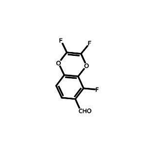 O=Cc1ccc2c(c1F)OC(F)=C(F)O2